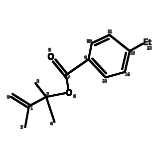 C=C(C)C(C)(C)OC(=O)c1ccc(CC)cc1